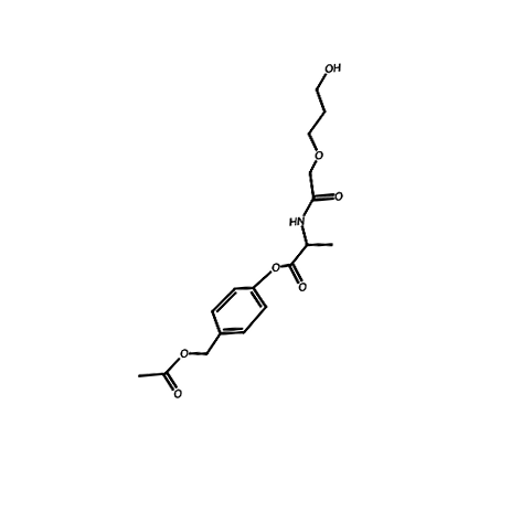 CC(=O)OCc1ccc(OC(=O)C(C)NC(=O)COCCCO)cc1